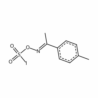 CC(=NOS(=O)(=O)I)c1ccc(C)cc1